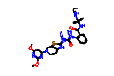 [C-]#[N+]C(C)(C)NC(=O)c1ccccc1NC(=O)Nc1nc2c(s1)CN(c1cc(OC)nc(OC)n1)CC2